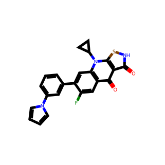 O=c1[nH]sc2c1c(=O)c1cc(F)c(-c3cccc(-n4cccc4)c3)cc1n2C1CC1